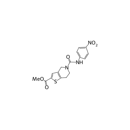 COC(=O)c1cc2c(s1)CCN(C(=O)Nc1ccc([N+](=O)[O-])cc1)C2